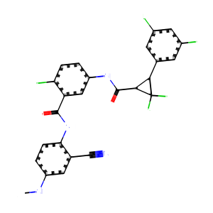 CNc1ccc(NC(=O)c2cc(NC(=O)C3C(c4cc(Cl)cc(Cl)c4)C3(Cl)Cl)ccc2Cl)c(C#N)c1